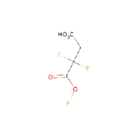 O=C(O)CC(F)(F)C(=O)OF